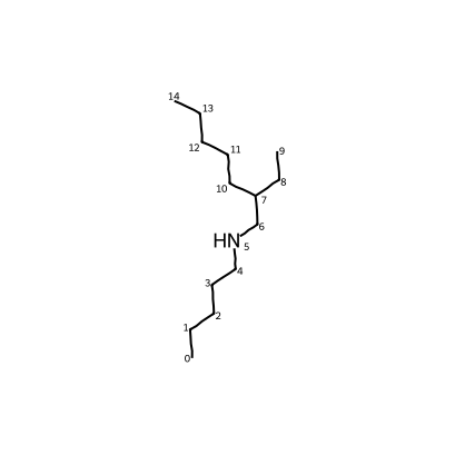 CCCCCNCC(CC)CCCCC